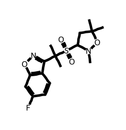 CN1OC(C)(C)CC1S(=O)(=O)C(C)(C)c1noc2cc(F)ccc12